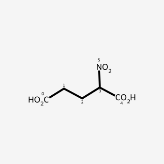 O=C(O)CCC(C(=O)O)[N+](=O)[O-]